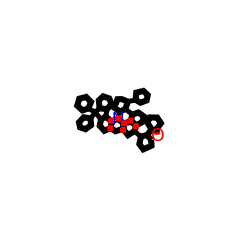 c1ccc(-c2ccccc2-c2c(-c3ccccc3)cccc2N(c2ccc(-c3cccc4oc5ccccc5c34)cc2)c2cccc3c2-c2ccccc2C3(c2ccccc2)c2ccccc2)cc1